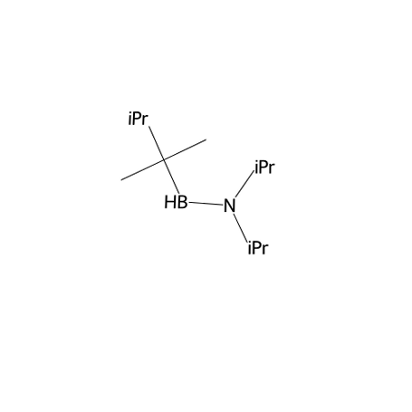 CC(C)N(BC(C)(C)C(C)C)C(C)C